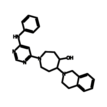 OC1CCN(c2cc(Nc3ccccc3)ncn2)CCC1N1CCc2ccccc2C1